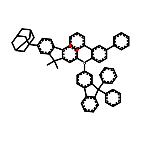 CC1(C)c2cc(N(c3ccc4c(c3)C(c3ccccc3)(c3ccccc3)c3ccccc3-4)c3ccc(-c4ccccc4)cc3-c3ccccc3)ccc2-c2ccc(C34CC5CC(CC(C5)C3)C4)cc21